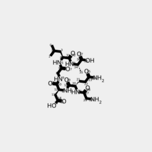 CC(C)C[C@H](NC(=O)CNC(=O)[C@H](CC(=O)O)NC(=O)[C@H](CCC(N)=O)NC(=O)CN)C(=O)N[C@@H](C)C(=O)O